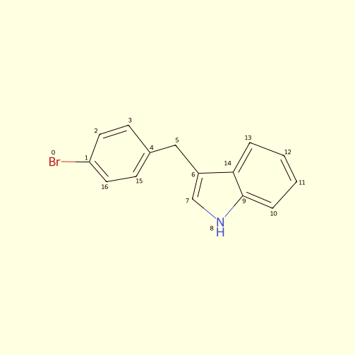 Brc1ccc(Cc2c[nH]c3ccccc23)cc1